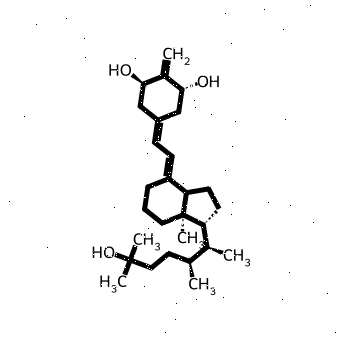 C=C1[C@H](O)CC(=C/C=C2\CCC[C@@]3(C)C2CC[C@@H]3[C@@H](C)[C@@H](C)CCC(C)(C)O)C[C@H]1O